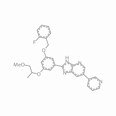 COCC(C)Oc1cc(OCc2ccccc2F)cc(-c2nc3cc(-c4cccnc4)cnc3[nH]2)c1